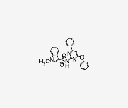 Cn1cc(S(=O)(=O)Nc2nc(Oc3ccccc3)cc(-c3ccccc3)n2)c2ccccc21